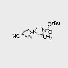 C[C@@H]1CN(c2ccc(C#N)cn2)CCN1C(=O)OC(C)(C)C